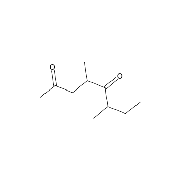 CCC(C)C(=O)C(C)CC(C)=O